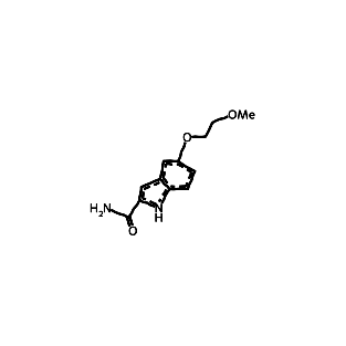 COCCOc1ccc2[nH]c(C(N)=O)cc2c1